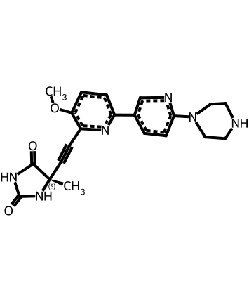 COc1ccc(-c2ccc(N3CCNCC3)nc2)nc1C#C[C@]1(C)NC(=O)NC1=O